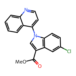 COC(=O)c1cn(-c2ccnc3ccccc23)c2ccc(Cl)cc12